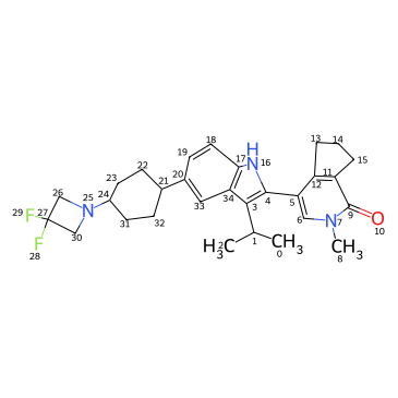 CC(C)c1c(-c2cn(C)c(=O)c3c2CCC3)[nH]c2ccc(C3CCC(N4CC(F)(F)C4)CC3)cc12